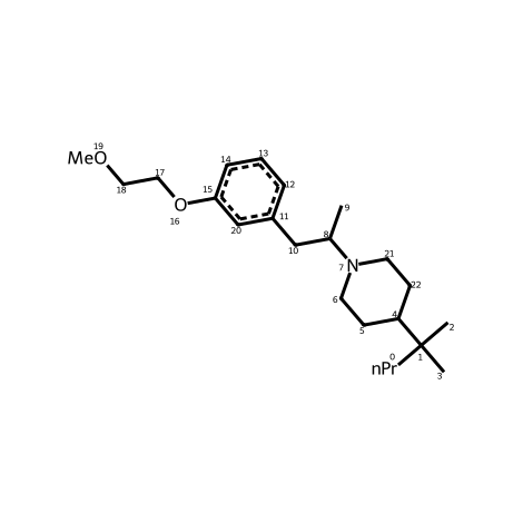 CCCC(C)(C)C1CCN(C(C)Cc2cccc(OCCOC)c2)CC1